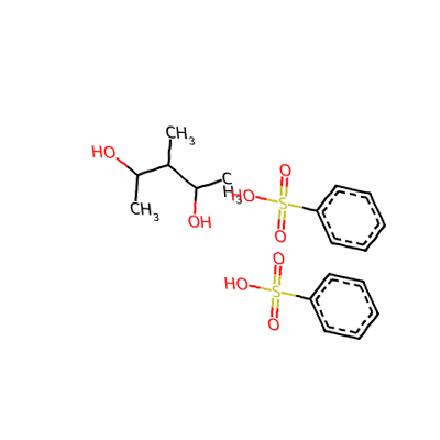 CC(O)C(C)C(C)O.O=S(=O)(O)c1ccccc1.O=S(=O)(O)c1ccccc1